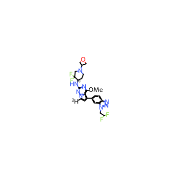 [2H]c1cc(-c2ccc3nnn(CC(F)F)c3c2)c2c(OC)nc(N[C@@H]3CCN(C4COC4)CC3(F)F)nn12